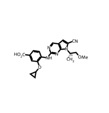 COC[C@H](C)n1c(C#N)cc2cnc(Nc3ccc(C(=O)O)cc3OC3CC3)nc21